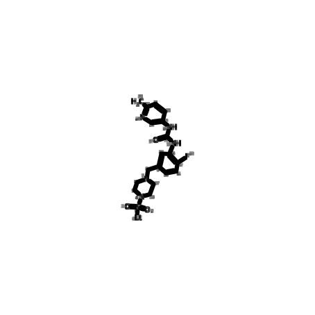 CCS(=O)(=O)N1CCN(Cc2ccc(F)c(NC(=O)Nc3ccc(C)nc3)c2)CC1